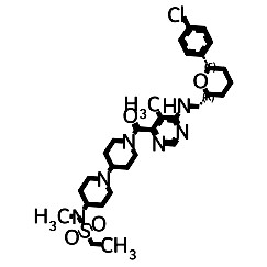 CCS(=O)(=O)N(C)C1CCN(C2CCN(C(=O)c3ncnc(NC[C@H]4CCC[C@@H](c5ccc(Cl)cc5)O4)c3C)CC2)CC1